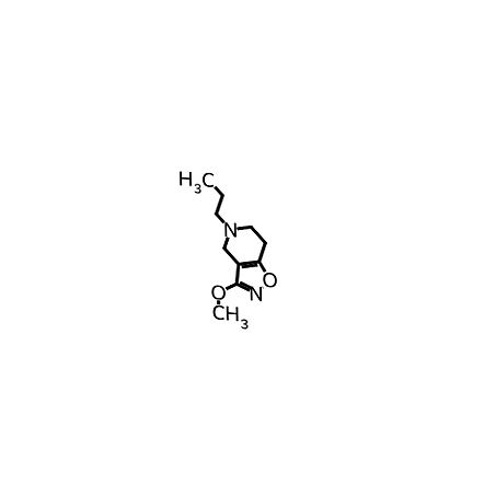 CCCN1CCc2onc(OC)c2C1